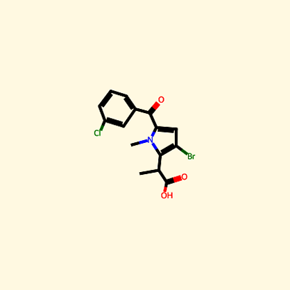 CC(C(=O)O)c1c(Br)cc(C(=O)c2cccc(Cl)c2)n1C